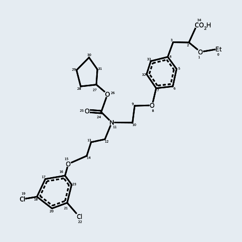 CCOC(Cc1ccc(OCCN(CCCOc2cc(Cl)cc(Cl)c2)C(=O)OC2CCCC2)cc1)C(=O)O